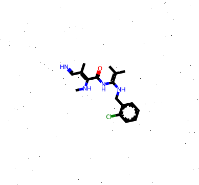 CN/C(C(=O)NC(NCc1ccccc1Cl)=C(C)C)=C(/C)C=N